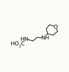 O=C(O)NCCNC1CCOCC1